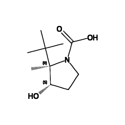 CC(C)(C)[C@]1(C)[C@@H](O)CCN1C(=O)O